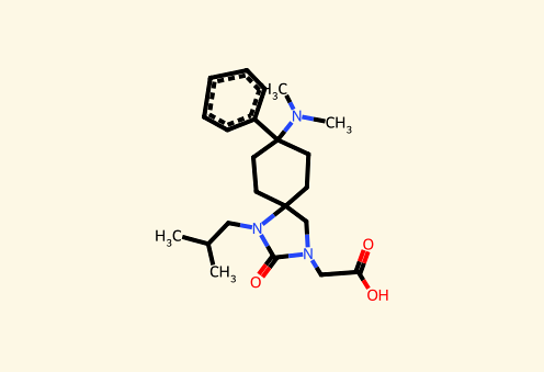 CC(C)CN1C(=O)N(CC(=O)O)CC12CCC(c1ccccc1)(N(C)C)CC2